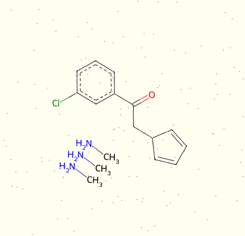 CN.CN.CN.O=C(CC1C=CC=C1)c1cccc(Cl)c1